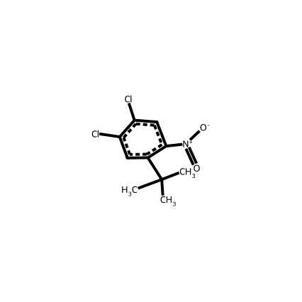 CC(C)(C)c1cc(Cl)c(Cl)cc1[N+](=O)[O-]